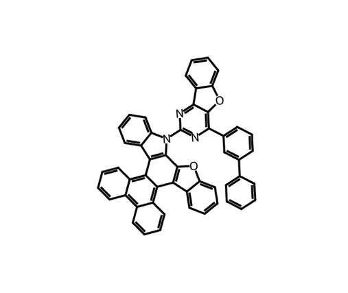 c1ccc(-c2cccc(-c3nc(-n4c5ccccc5c5c6c7ccccc7c7ccccc7c6c6c7ccccc7oc6c54)nc4c3oc3ccccc34)c2)cc1